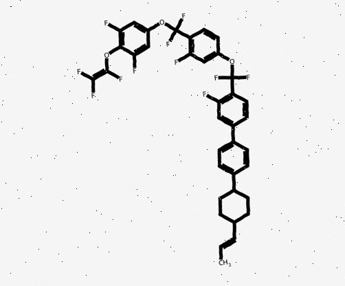 C/C=C/C1CCC(c2ccc(-c3ccc(C(F)(F)Oc4ccc(C(F)(F)Oc5cc(F)c(OC(F)=C(F)F)c(F)c5)c(F)c4)c(F)c3)cc2)CC1